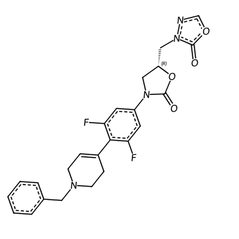 O=C1O[C@@H](Cn2ncoc2=O)CN1c1cc(F)c(C2=CCN(Cc3ccccc3)CC2)c(F)c1